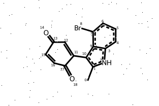 Cc1[nH]c2cccc(Br)c2c1C1=CC(=O)C=CC1=O